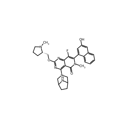 CN1CCC[C@H]1COc1nc(N2CC3CCC(C2)N3)c2c(=O)n(C)c(-c3cc(O)cc4ccccc34)c(F)c2n1